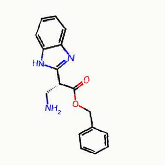 NC[C@@H](C(=O)OCc1ccccc1)c1nc2ccccc2[nH]1